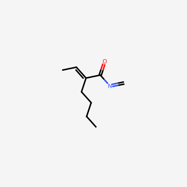 C=NC(=O)/C(=C/C)CCCC